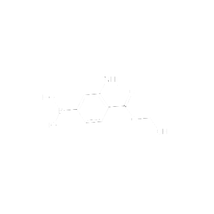 CCOC(=O)c1ccc(B(O)O)cc1N